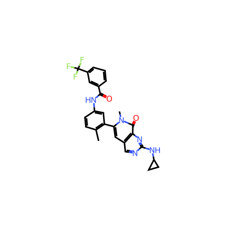 Cc1ccc(NC(=O)c2cccc(C(F)(F)F)c2)cc1-c1cc2cnc(NC3CC3)nc2c(=O)n1C